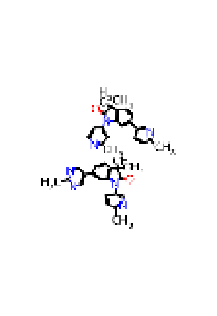 Cc1ccc(-c2ccc3c(c2)N(c2ccnc(C)c2)C(=O)C3(C)C)cn1.Cc1ccc(N2C(=O)C(C)(C)c3ccc(-c4cnc(C)nc4)cc32)cn1